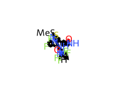 CSc1nc2nc([C@H](Cc3cc(F)cc(F)c3)NC(=O)Cn3nc(C(F)F)c4c3C(F)(F)C3C[C@H]43)c(-c3ccc4c(c3)C(=O)NC4)cc2s1